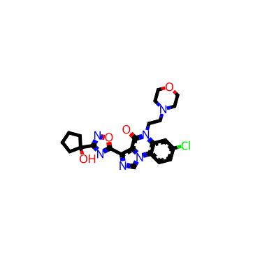 O=c1c2c(-c3nc(C4(O)CCCC4)no3)ncn2c2ccc(Cl)cc2n1CCN1CCOCC1